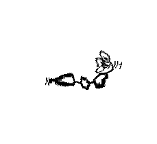 N#Cc1ccc(-c2ccc(-c3cccc4c3OS(=O)(=O)NC4)cc2)cc1